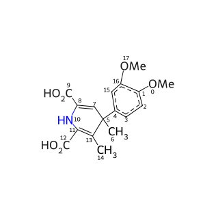 COc1ccc(C2(C)C=C(C(=O)O)NC(C(=O)O)=C2C)cc1OC